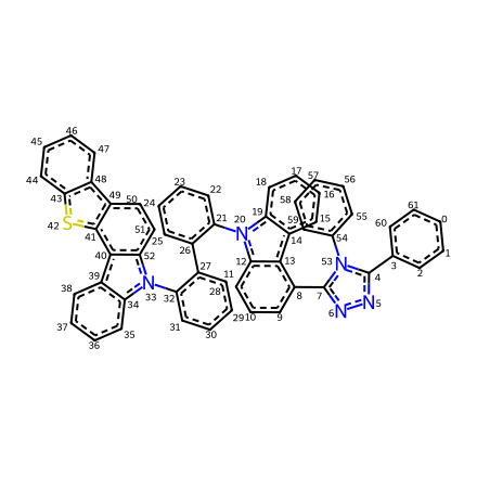 c1ccc(-c2nnc(-c3cccc4c3c3ccccc3n4-c3ccccc3-c3ccccc3-n3c4ccccc4c4c5sc6ccccc6c5ccc43)n2-c2ccccc2)cc1